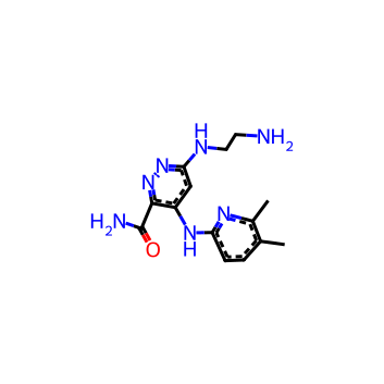 Cc1ccc(Nc2cc(NCCN)nnc2C(N)=O)nc1C